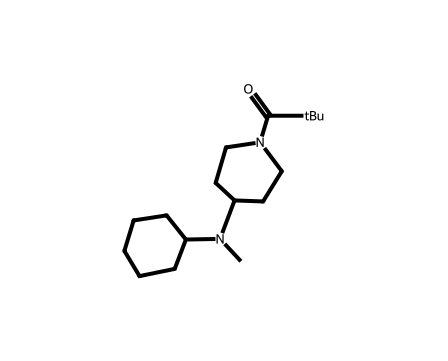 CN(C1CCCCC1)C1CCN(C(=O)C(C)(C)C)CC1